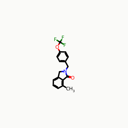 Cc1cccc2c1C(=O)N(Cc1ccc(OC(F)(F)F)cc1)C2